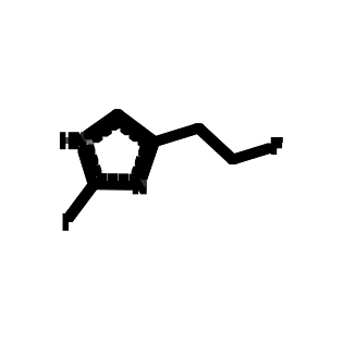 FCCc1c[nH]c(I)n1